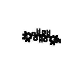 CN1C(C)(C)CC(OC(=O)NNC(=O)C(=O)NC2CC(C)(C)NC(C)(C)C2)CC1(C)C